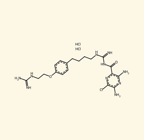 Cl.Cl.N=C(N)NCCOc1ccc(CCCCNC(=N)NC(=O)c2nc(Cl)c(N)nc2N)cc1